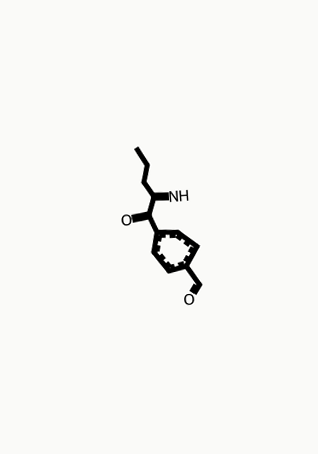 CCCC(=N)C(=O)c1ccc(C=O)cc1